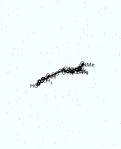 CNC(=O)COc1cc2cc(Nc3nc(N4CCC(C(=O)N(C)CCOCCOCCOCCNC(=O)CO/N=C5\CCC6C7CCc8cc(O)ccc8C7CC[C@]56C)CC4)ncc3Cl)cc(OC)c2n(C)c1=O